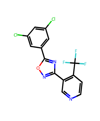 FC(F)(F)c1ccncc1-c1noc(-c2cc(Cl)cc(Cl)c2)n1